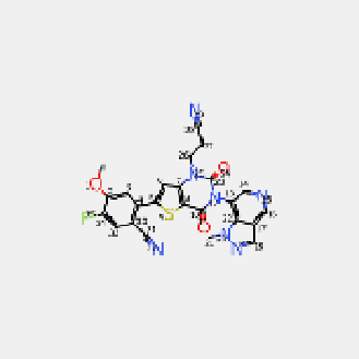 COc1cc(-c2cc3c(s2)c(=O)n(-c2cncc4cnn(C)c24)c(=O)n3CCC#N)c(C#N)cc1F